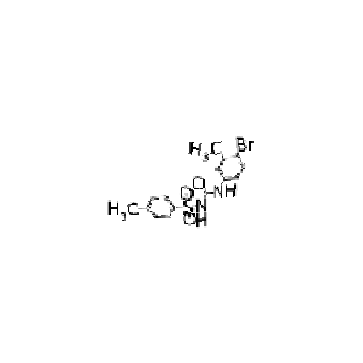 Cc1ccc(S(=O)(=O)NC(=O)Nc2ccc(Br)c(C)c2)cc1